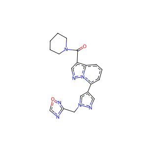 O=C(c1cnn2c(-c3cnn(Cc4ncon4)c3)cccc12)N1CCCCC1